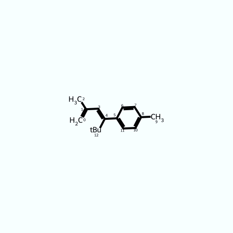 C=C(C)/C=C(/c1ccc(C)cc1)C(C)(C)C